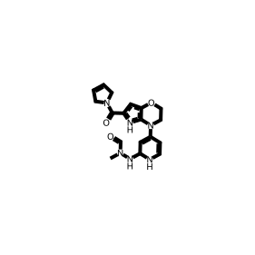 CN(C=O)NC1C=C(N2CCOc3cc(C(=O)N4CC=CC4)[nH]c32)C=CN1